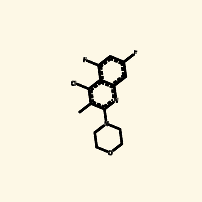 Cc1c(N2CCOCC2)nc2cc(F)cc(F)c2c1Cl